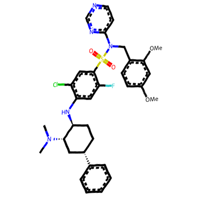 COc1ccc(CN(c2ccncn2)S(=O)(=O)c2cc(Cl)c(N[C@H]3CC[C@H](c4ccccc4)C[C@@H]3N(C)C)cc2F)c(OC)c1